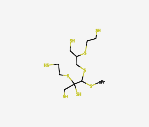 CCCSC(SCC(CS)SCCS)C(S)(CS)SCCS